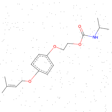 CC(C)=CCOc1ccc(OCCOC(=O)NC(C)C)cc1